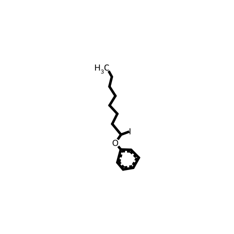 CCCCCCCC(I)Oc1ccccc1